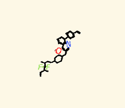 C=Cc1ccc(-c2cccc3c(OC)c(CC4CCC(CCC(C)C(F)(F)C(C)CC)CC4)cnc23)cc1